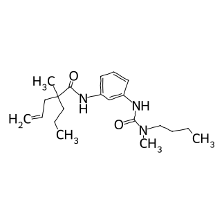 C=CCC(C)(CCC)C(=O)Nc1cccc(NC(=O)N(C)CCCC)c1